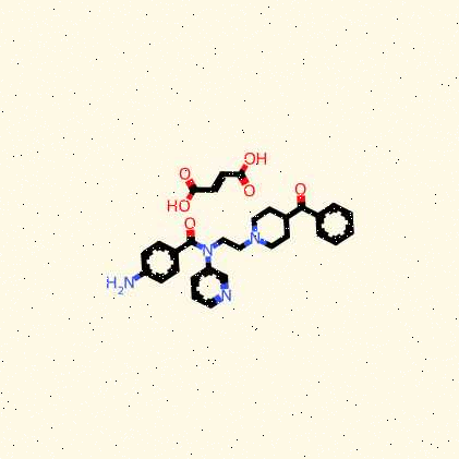 Nc1ccc(C(=O)N(CCN2CCC(C(=O)c3ccccc3)CC2)c2cccnc2)cc1.O=C(O)C=CC(=O)O